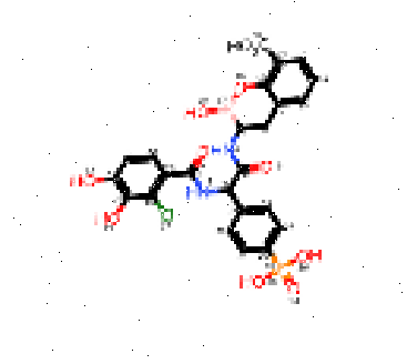 O=C(NC(C(=O)NC1Cc2cccc(C(=O)O)c2OB1O)c1ccc(P(=O)(O)O)cc1)c1ccc(O)c(O)c1Cl